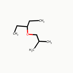 CCC(CC)OCC(C)C